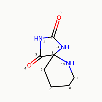 O=C1NC(=O)C2(CCCCN2)N1